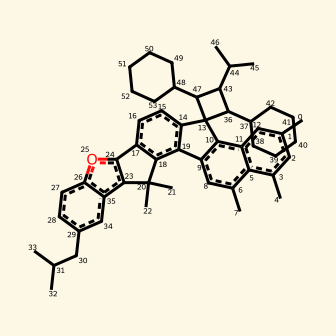 Cc1cc(C)c2c(C)cc3c(c2c1)C1(c2ccc4c(c2-3)C(C)(C)c2c-4oc3ccc(CC(C)C)cc23)C(C2CCCCC2)C(C(C)C)C1C1CCCCC1